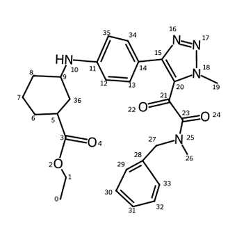 CCOC(=O)C1CCCC(Nc2ccc(-c3nnn(C)c3C(=O)C(=O)N(C)Cc3ccccc3)cc2)C1